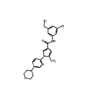 CCSc1cc(Cl)cc(NC(=O)c2cc(C)n(-c3ccc(N4CCOCC4)cn3)c2)c1